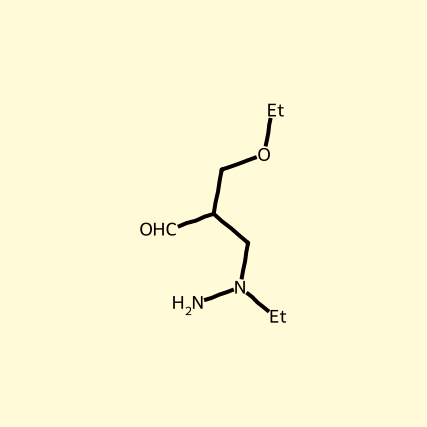 CCOCC(C=O)CN(N)CC